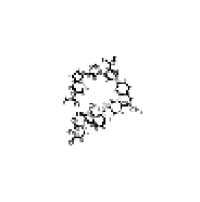 CN(CC1CCC(n2cc(-n3cc(-c4ccc5cc(C(N)=O)cnn45)nn3)c(C(F)F)n2)CC1)C1CCC(Nc2cccc3c2n(C)c(=O)n3C2CCC(=O)NC2=O)CC1